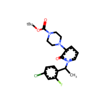 CC(c1ccc(Cl)cc1F)n1cccc(N2CCN(C(=O)OC(C)(C)C)CC2)c1=O